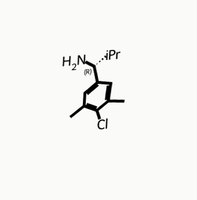 Cc1cc([C@H](N)C(C)C)cc(C)c1Cl